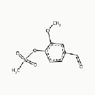 COc1cc(C=O)ccc1OS(C)(=O)=O